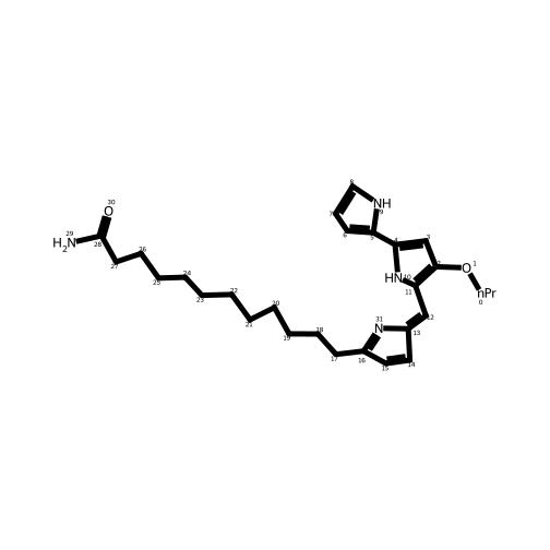 CCCOc1cc(-c2ccc[nH]2)[nH]c1C=C1C=CC(CCCCCCCCCCCC(N)=O)=N1